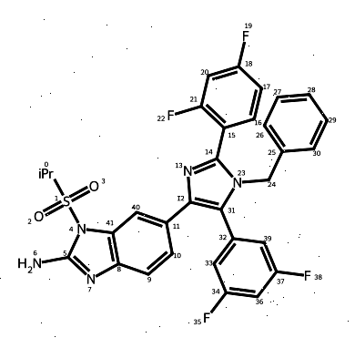 CC(C)S(=O)(=O)n1c(N)nc2ccc(-c3nc(-c4ccc(F)cc4F)n(Cc4ccccc4)c3-c3cc(F)cc(F)c3)cc21